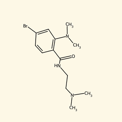 CN(C)CCNC(=O)c1ccc(Br)cc1N(C)C